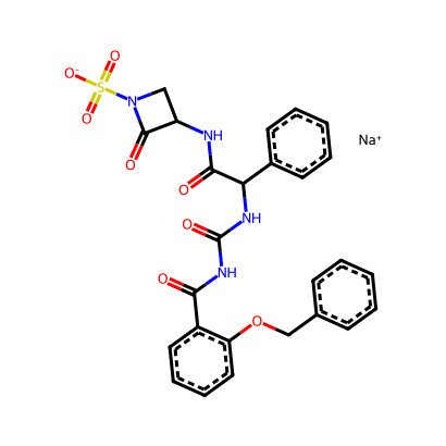 O=C(NC(=O)c1ccccc1OCc1ccccc1)NC(C(=O)NC1CN(S(=O)(=O)[O-])C1=O)c1ccccc1.[Na+]